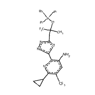 CC(C)[Si](OC(C)(c1nnc(-c2nc(C3CC3)c(C(F)(F)F)cc2N)o1)C(F)(F)F)(C(C)C)C(C)C